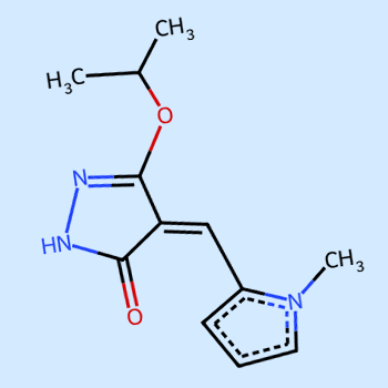 CC(C)OC1=NNC(=O)C1=Cc1cccn1C